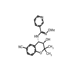 CO/N=C(/N[C@H]1c2cc(C#N)ccc2OC(C)(C)[C@@H]1O)c1cccnc1